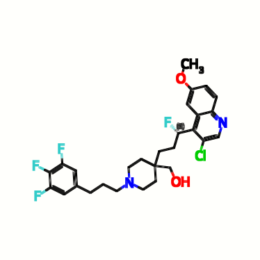 COc1ccc2ncc(Cl)c([C@@H](F)CCC3(CO)CCN(CCCc4cc(F)c(F)c(F)c4)CC3)c2c1